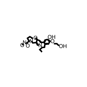 CCC1Cc2cc(OCCCO)c(O)cc2-c2cc(=O)c(CN3CCCC3C(=O)N=O)cn21